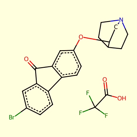 O=C(O)C(F)(F)F.O=C1c2cc(Br)ccc2-c2ccc(OC3CN4CCC3CC4)cc21